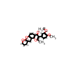 COc1ccc(-c2c(C)oc3c4c(ccc3c2=O)OC2OCCCC2C4)cc1OC